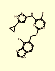 Fc1cnc(NCc2ccc3[nH]cnc3c2Cl)nc1Nc1cc(C2CC2)[nH]n1